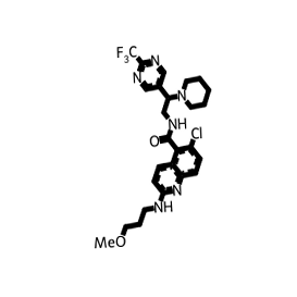 COCCCNc1ccc2c(C(=O)NCC(c3cnc(C(F)(F)F)nc3)N3CCCCC3)c(Cl)ccc2n1